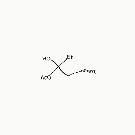 CCCCCCC(O)(CC)OC(C)=O